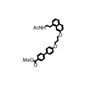 COC(=O)c1ccc(-c2ccc(OCCCOc3ccc4cccc(CCNC(C)=O)c4c3)cc2)cc1